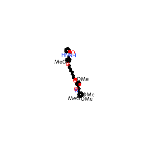 COc1cc(C2NC(=O)c3ccccc3N2)ccc1OCCCCCCCCCOc1cc(-c2cc(-c3cc(OC)c(OC)c(OC)c3)no2)ccc1OC